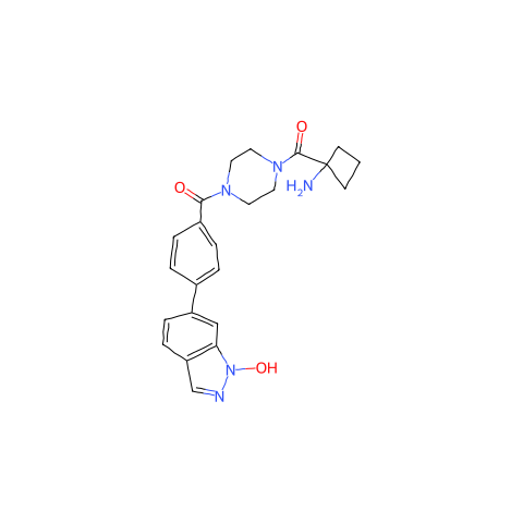 NC1(C(=O)N2CCN(C(=O)c3ccc(-c4ccc5cnn(O)c5c4)cc3)CC2)CCC1